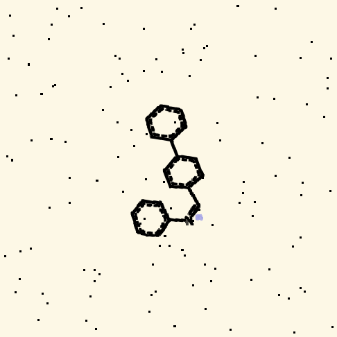 C(=N/c1ccccc1)/c1ccc(-c2ccccc2)cc1